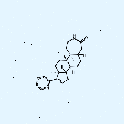 C[C@]12CCNC(=O)C[C@@H]1CC[C@@H]1[C@@H]2CC[C@]2(C)C(c3cnccn3)=CC[C@@H]12